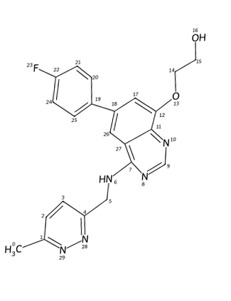 Cc1ccc(CNc2ncnc3c(OCCO)cc(-c4ccc(F)cc4)cc23)nn1